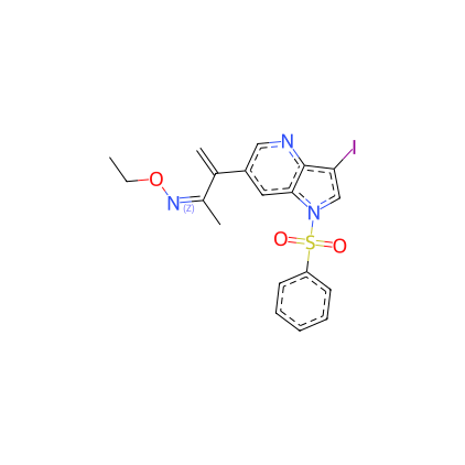 C=C(/C(C)=N\OCC)c1cnc2c(I)cn(S(=O)(=O)c3ccccc3)c2c1